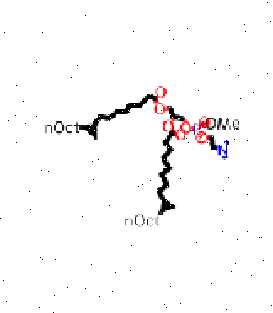 CCCCCCCCC1CC1CCCCCCCC(=O)OCC(COP(OCCN(C)C)OOC)OC(=O)CCCCCCCC1CC1CCCCCCCC